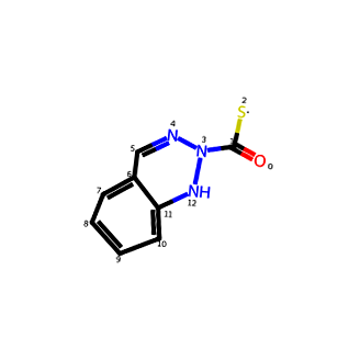 O=C([S])N1N=Cc2ccccc2N1